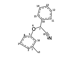 Cc1cccc(OC(C#N)c2ccccc2)c1